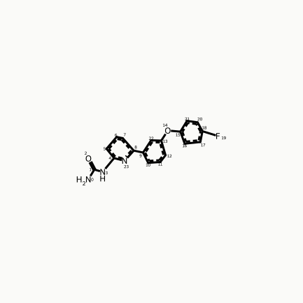 NC(=O)Nc1cccc(-c2cccc(Oc3ccc(F)cc3)c2)n1